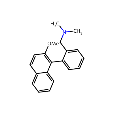 COc1ccc2ccccc2c1-c1ccccc1CN(C)C